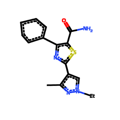 CCn1cc(-c2nc(-c3ccccc3)c(C(N)=O)s2)c(C)n1